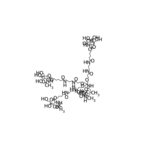 CC(=O)NC1C(O)[C@@H](O)C(CO)O[C@H]1OCCCCC(=O)NCCCNC(=O)CCOCC(COCCC(=O)NCCCNC(=O)CCCCO[C@@H]1OC2C3(CO)C(C(O)[C@H]3O)C21NC(C)=O)(COCCC(=O)NCCCNC(=O)CCCCO[C@@H]1OC2C3(CO)C(C(O)[C@H]3O)C21NC(C)=O)NC(=O)CC(C)(C)CC(C)(C)NC(=O)ON